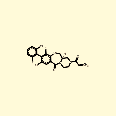 C=CC(=O)N1CCN2C(=O)c3cc(Cl)c(-c4c(O)cccc4F)c(Cl)c3OC[C@H]2C1